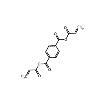 C=CC(=O)OC(=O)c1ccc(C(=O)OC(=O)C=C)cc1